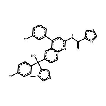 Cn1cncc1C(O)(c1ccc(Cl)cc1)c1ccc2nc(NC(=O)c3ccco3)cc(-c3cccc(Cl)c3)c2c1